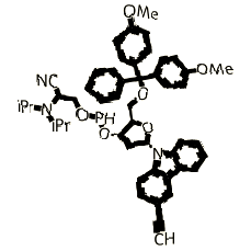 C#Cc1ccc2c(c1)c1ccccc1n2[C@@H]1C[C@H](OPOCC(C#N)N(C(C)C)C(C)C)[C@@H](COC(c2ccccc2)(c2ccc(OC)cc2)c2ccc(OC)cc2)O1